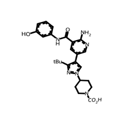 CC(C)(C)c1nn(C2CCN(C(=O)O)CC2)cc1-c1cnc(N)c(C(=O)Nc2cccc(O)c2)c1